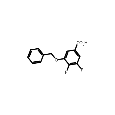 O=C(O)c1cc(F)c(F)c(OCc2ccccc2)c1